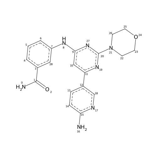 NC(=O)c1cccc(Nc2cc(-c3ccc(N)nc3)nc(N3CCOCC3)n2)c1